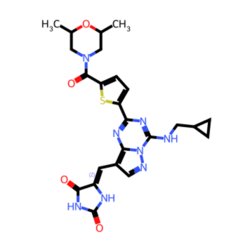 CC1CN(C(=O)c2ccc(-c3nc(NCC4CC4)n4ncc(/C=C5\NC(=O)NC5=O)c4n3)s2)CC(C)O1